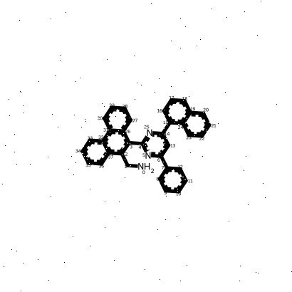 NCc1c(-c2nc(-c3ccccc3)cc(-c3cccc4ccccc34)n2)c2ccccc2c2ccccc12